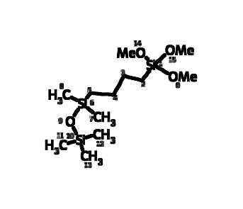 CO[Si](CCCC[Si](C)(C)O[Si](C)(C)C)(OC)OC